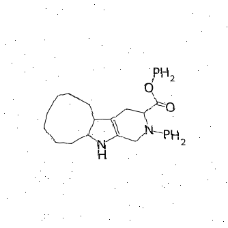 O=C(OP)C1CC2=C(CN1P)NC1CCCCCCCC21